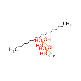 CCCCCCCCCCCCCCCCCC.OP(O)(O)=S.OP(O)(O)=S.[Cu]